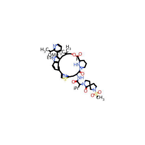 CCn1c(-c2cccnc2[C@H](C)OC)c2c3cc(ccc31)-c1csc(n1)C[C@H](NC(=O)C(C(C)C)N1CCC3(CCN(S(C)(=O)=O)C3)C1=O)C(=O)N1CCC[C@H](N1)C(=O)OCC(C)(C)C2